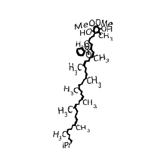 COc1c(O)c(C)c(CC=C(C)C=C(C=C(C)CCC=C(C)CCC=C(C)CCC=C(C)CCC=C(C)CCC=C(C)CCC=C(C)CCC=C(C)CCCC(C)C)S(=O)(=O)c2ccccc2)c(O)c1OC